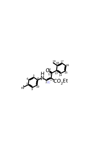 CCOC(=O)/C(=C/Nc1ccc(I)cc1)C(=O)c1ccccc1C